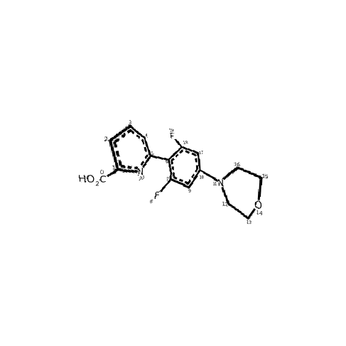 O=C(O)c1cccc(-c2c(F)cc(N3CCOCC3)cc2F)n1